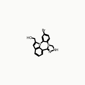 OCc1cc2cccc3c4n(c5ccc(Br)cc5n1c23)CNN=4